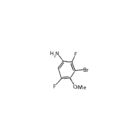 COc1c(F)cc(N)c(F)c1Br